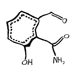 NC(=O)c1c(O)cccc1C=O